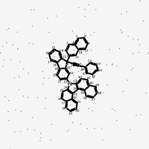 C(#CC1(c2ccc3ccccc3c2)c2ccccc2-c2ccc(-n3c4ccc5ccccc5c4c4c5ccccc5ccc43)cc21)c1ccccc1